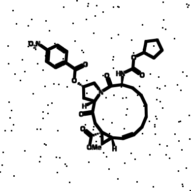 COC(=O)[C@]12CC(=O)[C@@H]3C[C@H](OC(=O)c4ccc([N+](=O)[O-])cc4)CN3C(=O)[C@@H](NC(=O)OC3CCCC3)CCCCC/C=C\[C@@H]1C2